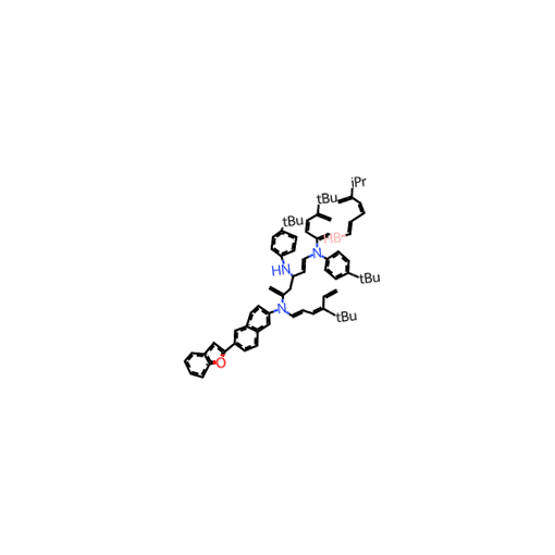 C=C/C(=C\C=C\N(C(=C)CC(/C=C/N(C(/C=C\C(=C)C(C)(C)C)=C\B/C=C/C=C\C(=C)C(C)C)c1ccc(C(C)(C)C)cc1)Nc1ccc(C(C)(C)C)cc1)c1ccc2cc(-c3cc4ccccc4o3)ccc2c1)C(C)(C)C